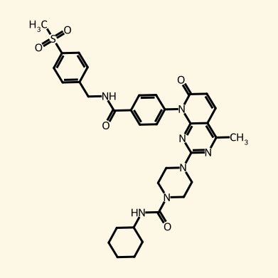 Cc1nc(N2CCN(C(=O)NC3CCCCC3)CC2)nc2c1ccc(=O)n2-c1ccc(C(=O)NCc2ccc(S(C)(=O)=O)cc2)cc1